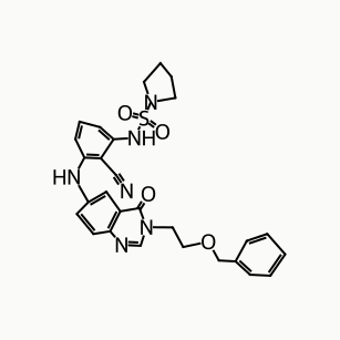 N#Cc1c(Nc2ccc3ncn(CCOCc4ccccc4)c(=O)c3c2)cccc1NS(=O)(=O)N1CCCC1